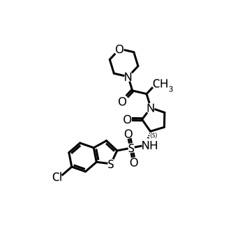 CC(C(=O)N1CCOCC1)N1CC[C@H](NS(=O)(=O)c2cc3ccc(Cl)cc3s2)C1=O